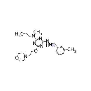 CCCN(C)c1nc(N/N=C/c2cccc(C)c2)nc(OCCN2CCOCC2)n1